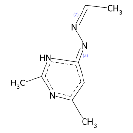 C/C=N\N=c1\cc(C)nc(C)[nH]1